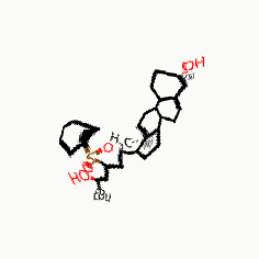 CC(C)(C)C(O)CC(CCC1CCC2C3CC=C4C[C@@H](O)CCC4C3CC[C@]12C)S(=O)(=O)c1ccccc1